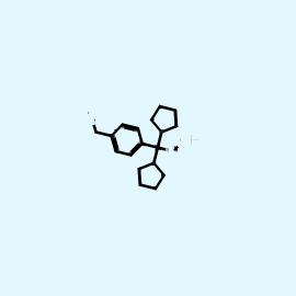 COC(c1ccc(CN)cc1)(C1CCCC1)C1CCCC1